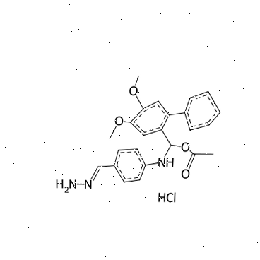 COc1cc(-c2ccccc2)c(C(Nc2ccc(C=NN)cc2)OC(C)=O)cc1OC.Cl